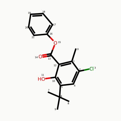 Cc1c(Cl)cc(C(C)(C)C)c(O)c1C(=O)Oc1ccccc1